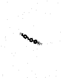 CCCOc1ccc(C2CCC(CCC3CCC(C=CF)CC3)CC2)cc1